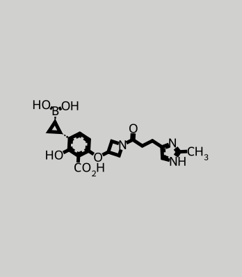 Cc1nc(CCC(=O)N2CC(Oc3ccc([C@@H]4C[C@@H]4B(O)O)c(O)c3C(=O)O)C2)c[nH]1